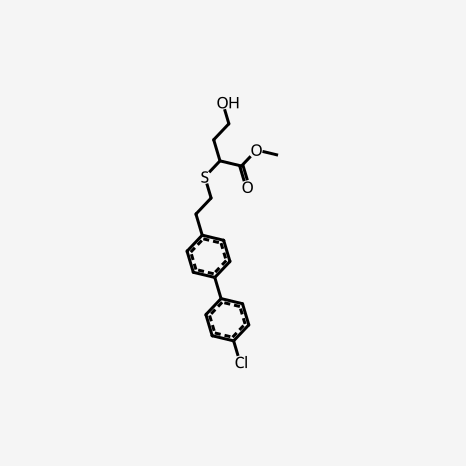 COC(=O)C(CCO)SCCc1ccc(-c2ccc(Cl)cc2)cc1